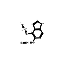 [N-]=[N+]=Nc1ccc2c(c1N=[N+]=[N-])C=CC2